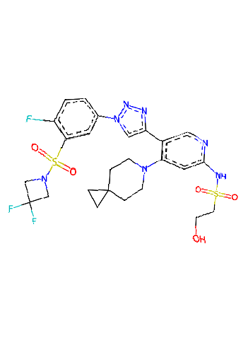 O=S(=O)(CCO)Nc1cc(N2CCC3(CC2)CC3)c(-c2cn(-c3ccc(F)c(S(=O)(=O)N4CC(F)(F)C4)c3)nn2)cn1